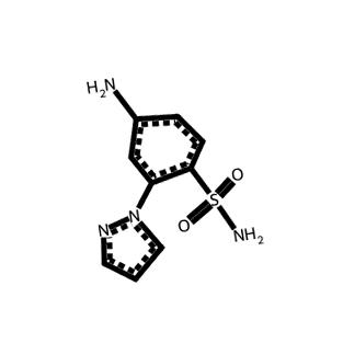 Nc1ccc(S(N)(=O)=O)c(-n2cccn2)c1